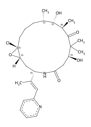 CC(=Cc1ccccn1)[C@@H]1C[C@@H]2O[C@]2(Cl)CCC[C@H](C)[C@H](O)[C@@H](C)C(=O)C(C)(C)[C@@H](O)CC(=O)N1